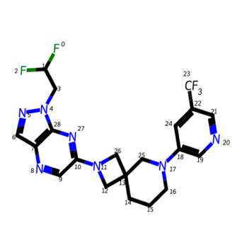 FC(F)Cn1ncc2ncc(N3CC4(CCCN(c5cncc(C(F)(F)F)c5)C4)C3)nc21